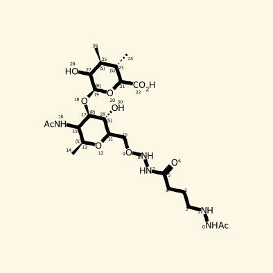 CC(=O)NNCCCC(=O)NNOCC1O[C@@H](C)C(NC(C)=O)[C@@H](O[C@@H]2OC(C(=O)O)[C@@H](C)[C@H](C)C2O)[C@@H]1O